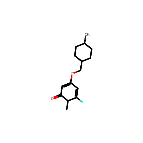 CC1C(=O)C=C(OCC2CCC(C(F)(F)F)CC2)C=C1F